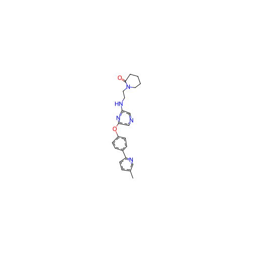 Cc1ccc(-c2ccc(Oc3cncc(NCCN4CCCCC4=O)n3)cc2)nc1